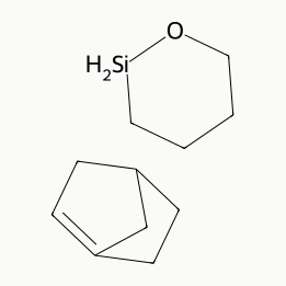 C1=C2CCC(C1)C2.C1CC[SiH2]OC1